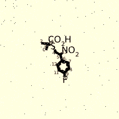 CC(C)(SCC(c1ccc(F)cc1)[N+](=O)[O-])C(=O)O